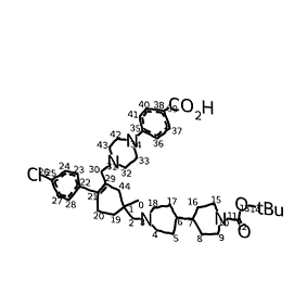 CC1(CN2CCC(C3CCN(C(=O)OC(C)(C)C)CC3)CC2)CCC(c2ccc(Cl)cc2)=C(CN2CCN(c3ccc(C(=O)O)cc3)CC2)C1